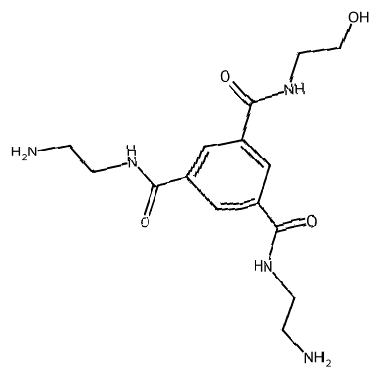 NCCNC(=O)c1cc(C(=O)NCCN)cc(C(=O)NCCO)c1